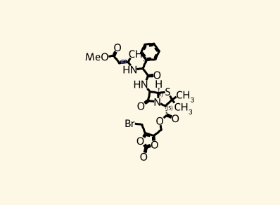 COC(=O)/C=C(\C)NC(C(=O)NC1C(=O)N2[C@@H]1SC(C)(C)[C@@H]2C(=O)OCc1oc(=O)oc1CBr)c1ccccc1